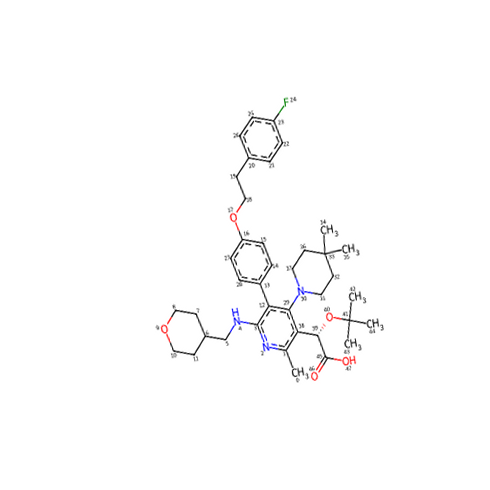 Cc1nc(NCC2CCOCC2)c(-c2ccc(OCCc3ccc(F)cc3)cc2)c(N2CCC(C)(C)CC2)c1[C@H](OC(C)(C)C)C(=O)O